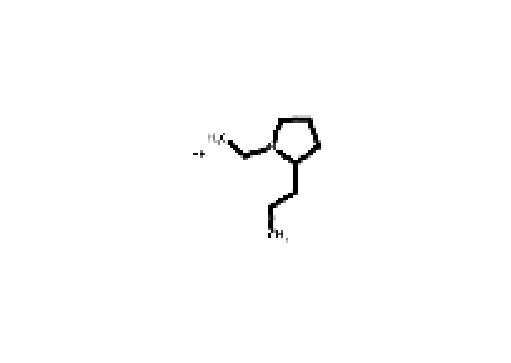 CCCC1CCCN1CC.F